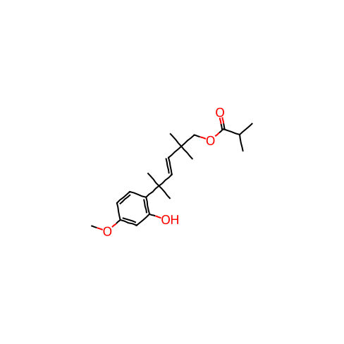 COc1ccc(C(C)(C)/C=C/C(C)(C)COC(=O)C(C)C)c(O)c1